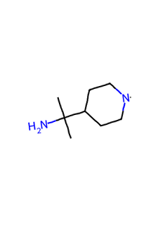 CC(C)(N)C1CC[N]CC1